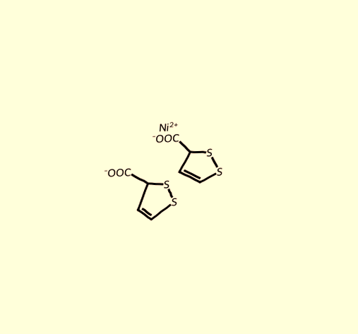 O=C([O-])C1C=CSS1.O=C([O-])C1C=CSS1.[Ni+2]